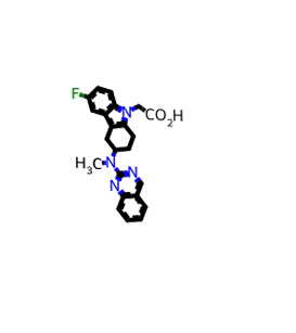 CN(c1ncc2ccccc2n1)C1CCc2c(c3cc(F)ccc3n2CC(=O)O)C1